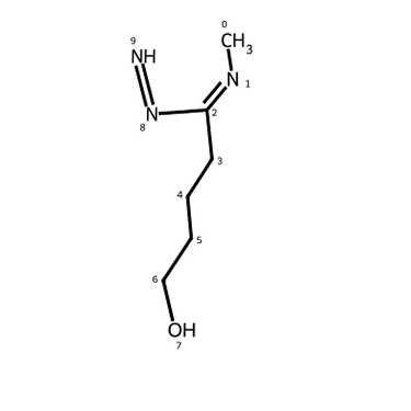 C/N=C(/CCCCO)N=N